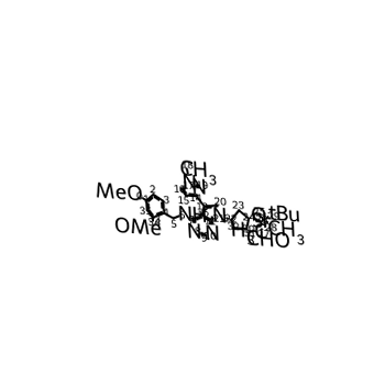 COc1ccc(CNc2ncnc3c2c(-c2ccn(C)n2)cn3[C@H]2C[C@H](O[Si](C)(C)C(C)(C)C)[C@@H](C=O)C2)c(OC)c1